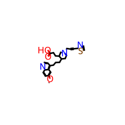 COc1ccc2nccc(CCCC3CCN(CC#Cc4nccs4)CC3CCC(=O)O)c2c1